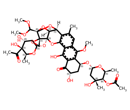 COc1c2c(c(O)c3c4c(c(C)cc13)[C@@H]1O[C@@]3(C(OC)OC)O[C@@H]1[C@@](O[C@H]1C[C@@H](O)[C@@](O)(C(C)=O)[C@H](C)O1)(O4)[C@@]31CO1)C(=O)[C@@H](O)C[C@@H]2O[C@H]1C[C@@](C)(O)[C@H](OC(C)=O)[C@H](C)O1